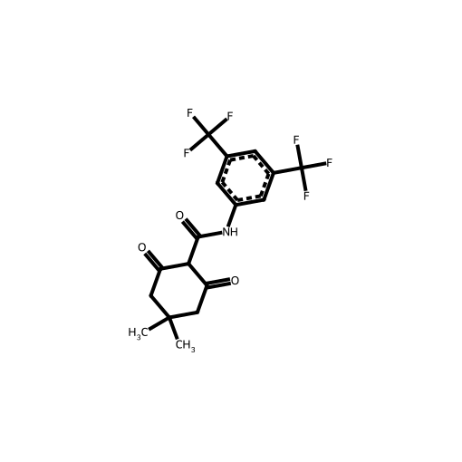 CC1(C)CC(=O)C(C(=O)Nc2cc(C(F)(F)F)cc(C(F)(F)F)c2)C(=O)C1